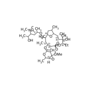 CC[C@@H](O)[C@@](C)(O)[C@@H]1OC(=O)[C@H](C)[C@@H](O[C@H]2CC3(OC)O[C@H]3C(C)O2)[C@H](C)C(OOC(C)CC(C(C)O)N(C)C)[C@@]2(C)CC(C)C(O2)[C@@H]1C